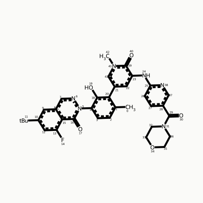 Cc1ccc(-n2ncc3cc(C(C)(C)C)cc(F)c3c2=O)c(O)c1-c1cc(Nc2ccc(C(=O)N3CCOCC3)cn2)c(=O)n(C)c1